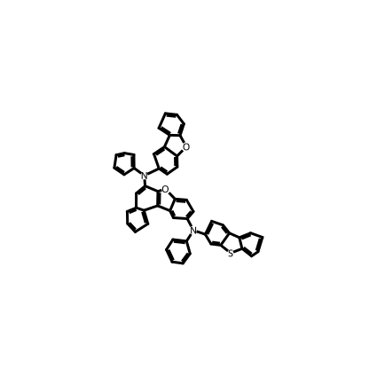 c1ccc(N(c2ccc3c(c2)sc2ccccc23)c2ccc3oc4c(N(c5ccccc5)c5ccc6oc7ccccc7c6c5)cc5ccccc5c4c3c2)cc1